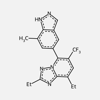 CCc1nc2c(CC)cc(C(F)(F)F)c(-c3cc(C)c4[nH]ncc4c3)n2n1